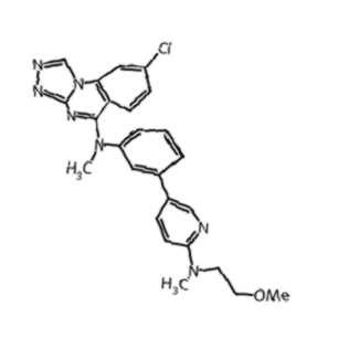 COCCN(C)c1ccc(-c2cccc(N(C)c3nc4nncn4c4cc(Cl)ccc34)c2)cn1